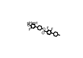 CCCCCCCOc1ccc(C2CCC(OC(=O)c3ccc(C4CCC(C)CC4)c(F)c3F)CC2)cc1F